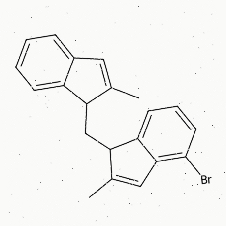 CC1=Cc2ccccc2C1CC1C(C)=Cc2c(Br)cccc21